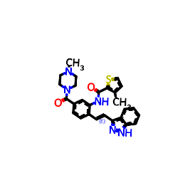 Cc1ccsc1C(=O)Nc1cc(C(=O)N2CCN(C)CC2)ccc1/C=C/c1n[nH]c2ccccc12